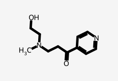 CN(CCO)CCC(=O)c1ccncc1